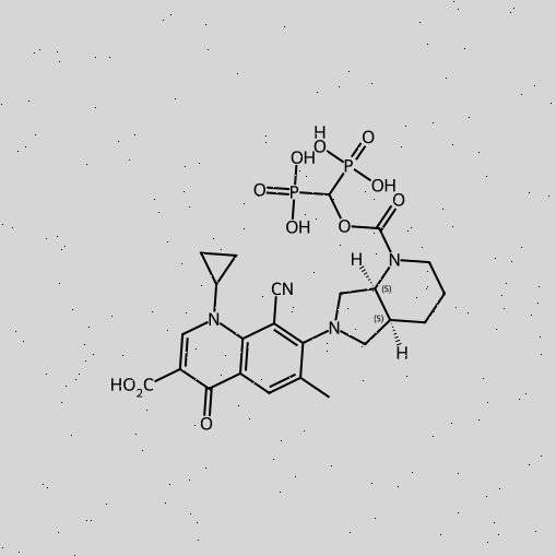 Cc1cc2c(=O)c(C(=O)O)cn(C3CC3)c2c(C#N)c1N1C[C@@H]2CCCN(C(=O)OC(P(=O)(O)O)P(=O)(O)O)[C@@H]2C1